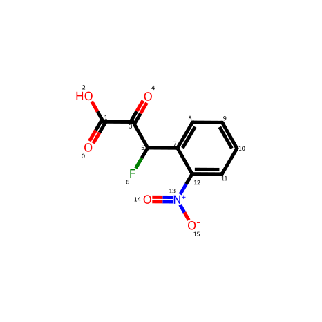 O=C(O)C(=O)C(F)c1ccccc1[N+](=O)[O-]